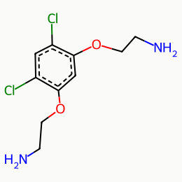 NCCOc1cc(OCCN)c(Cl)cc1Cl